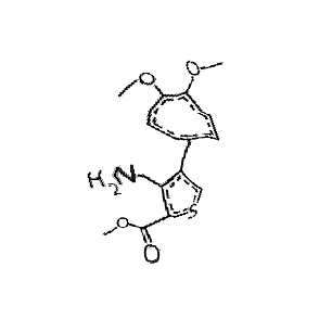 COC(=O)c1scc(-c2ccc(OC)c(OC)c2)c1N